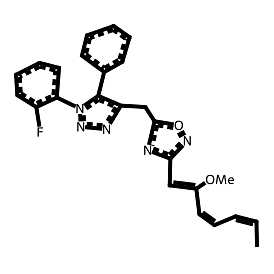 C\C=C/C=C\C(=C\c1noc(Cc2nnn(-c3ccccc3F)c2-c2ccccc2)n1)OC